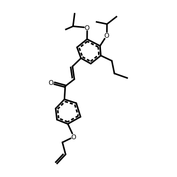 C=CCOc1ccc(C(=O)/C=C/c2cc(CCC)c(OC(C)C)c(OC(C)C)c2)cc1